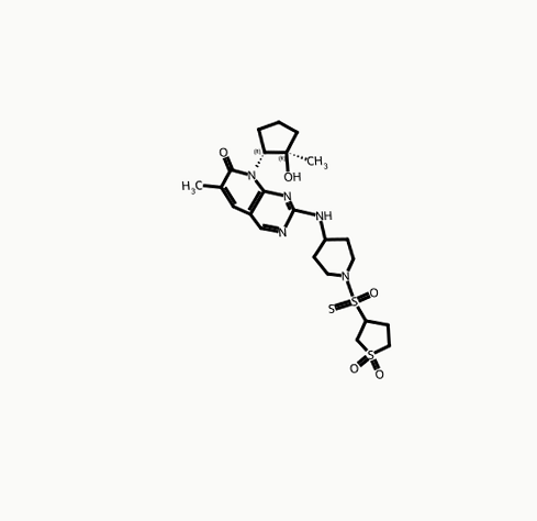 Cc1cc2cnc(NC3CCN(S(=O)(=S)C4CCS(=O)(=O)C4)CC3)nc2n([C@@H]2CCC[C@@]2(C)O)c1=O